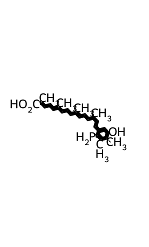 CC1=C(P)C(CC[C@H](C)CC/C=C(\C)CCC/C(C)=C/CCC(C)C(=O)O)=C[C@H](O)[C@@H]1C